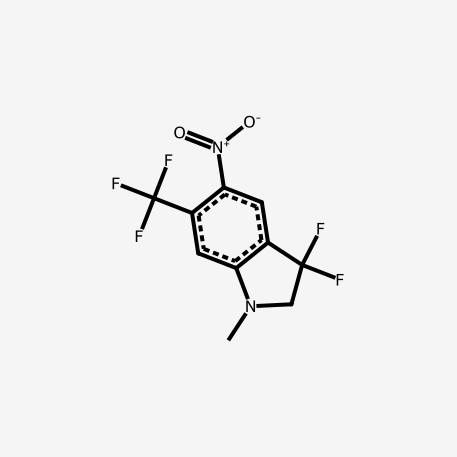 CN1CC(F)(F)c2cc([N+](=O)[O-])c(C(F)(F)F)cc21